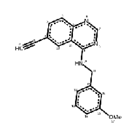 C#Cc1ccc2ncnc(NCc3cccc(OC)c3)c2c1